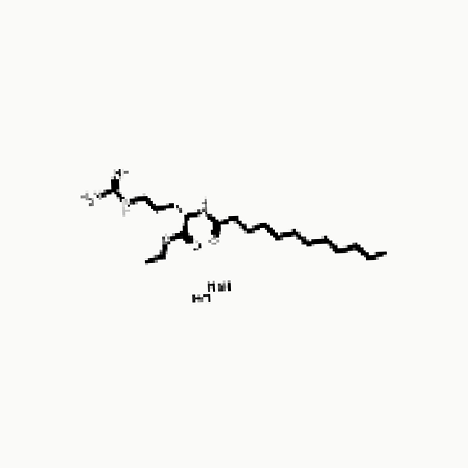 CCCCCCCCCCCC(=O)N[C@@H](CCCNC(=N)N)C(=O)OCC.Cl.[NaH]